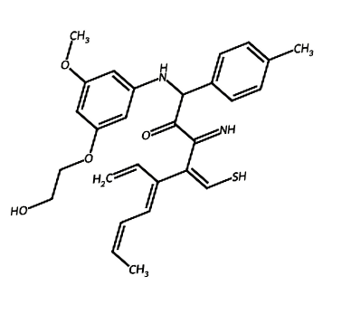 C=CC(=C\C=C/C)/C(=C/S)C(=N)C(=O)C(Nc1cc(OC)cc(OCCO)c1)c1ccc(C)cc1